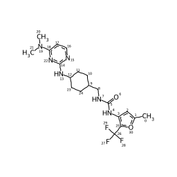 Cc1cc(NC(=O)NCC2CCC(Nc3nccc(N(C)C)n3)CC2)c(C(F)(F)F)o1